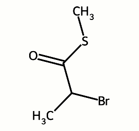 CSC(=O)C(C)Br